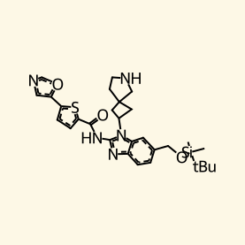 CC(C)(C)[Si](C)(C)OCc1ccc2nc(NC(=O)c3ccc(-c4cnco4)s3)n(C3CC4(CCNC4)C3)c2c1